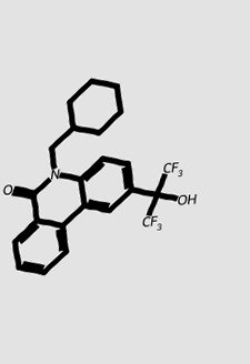 O=c1c2ccccc2c2cc(C(O)(C(F)(F)F)C(F)(F)F)ccc2n1CC1CCCCC1